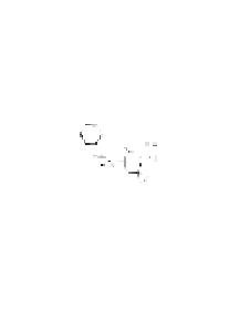 CC(C)(C)OC(=O)N(CC1(CN)CC1)[C@H]1C[C@@H]1c1ccccc1